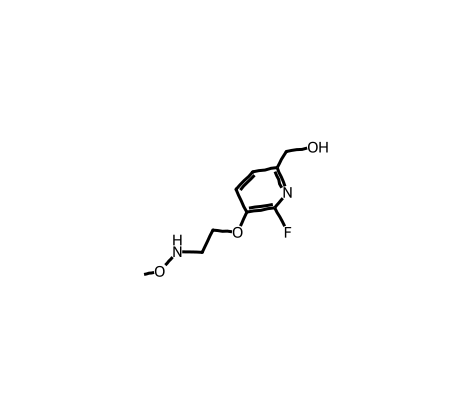 CONCCOc1ccc(CO)nc1F